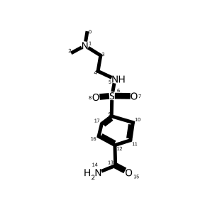 CN(C)CCNS(=O)(=O)c1ccc(C(N)=O)cc1